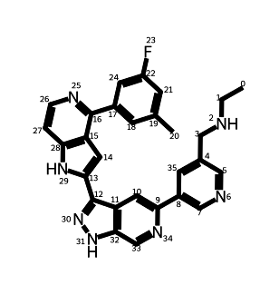 CCNCc1cncc(-c2cc3c(-c4cc5c(-c6cc(C)cc(F)c6)nccc5[nH]4)n[nH]c3cn2)c1